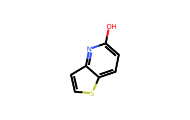 Oc1ccc2sccc2n1